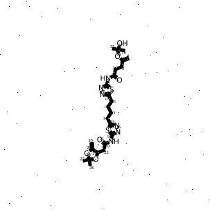 C=C(CCC(=O)Nc1nnc(CCCCc2nnc(NC(=O)CC3OC(C)(C)OC3=C)s2)s1)OC(C)(C)O